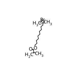 C=C(C)C(=O)OCCCCCCCCCC[Si](C)(C)Br